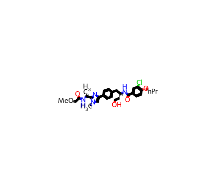 CCCOc1ccc(C(=O)N[C@H](CCO)Cc2ccc(-c3cn(C)c([C@@H](C)NC(=O)COC)n3)cc2)cc1Cl